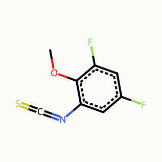 COc1c(F)cc(F)cc1N=C=S